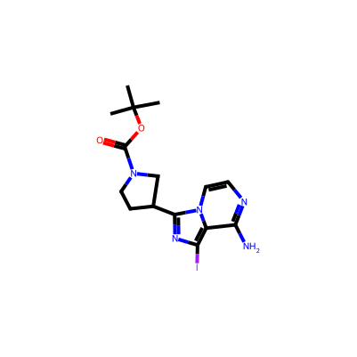 CC(C)(C)OC(=O)N1CCC(c2nc(I)c3c(N)nccn23)C1